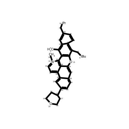 Cc1c2c(c(CC(C)(C)C)c3ccc(CC(C)C)cc13)Oc1cc3ccc(C4CCOCC4)cc3c3cc[n+](C)c-2c13